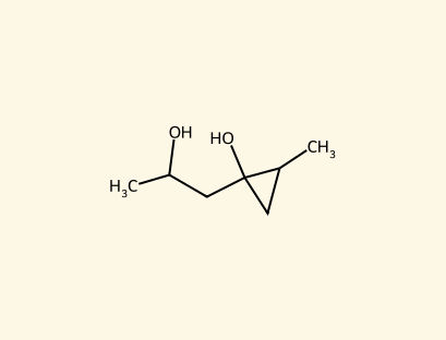 CC(O)CC1(O)CC1C